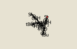 CC(C)(C)OC(=O)CCNC(=O)[C@H](CCCCNC(=O)OCC[Si](C)(C)C)NC(=O)C(N)C(N)C(=O)N[C@@H](CCCCNC(=O)OCC[Si](C)(C)C)C(=O)NCCC(=O)OC(C)(C)C